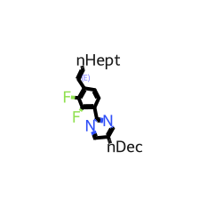 CCCCCCC/C=C/c1ccc(-c2ncc(CCCCCCCCCC)cn2)c(F)c1F